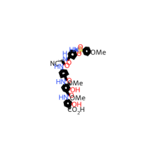 COc1ccc(S(=O)(=O)Nc2ccc(C(=O)N[C@@H](CC#N)C(=O)Nc3ccc(C(=O)Nc4ccc(C(=O)Nc5ccc(C(=O)O)c(O)c5OC)c(O)c4OC)cc3)cc2)cc1